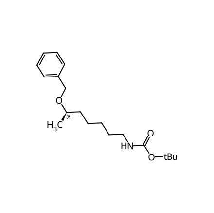 C[C@H](CCCCCNC(=O)OC(C)(C)C)OCc1ccccc1